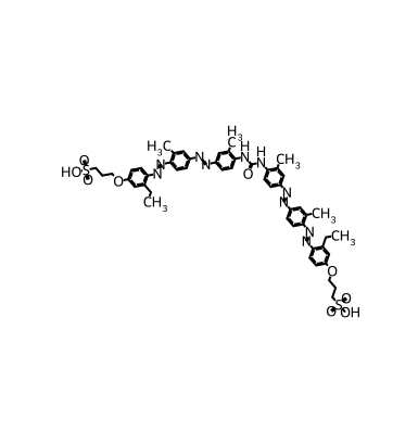 CCc1cc(OCCCS(=O)(=O)O)ccc1N=Nc1ccc(N=Nc2ccc(NC(=O)Nc3ccc(N=Nc4ccc(N=Nc5ccc(OCCCS(=O)(=O)O)cc5CC)c(C)c4)cc3C)c(C)c2)cc1C